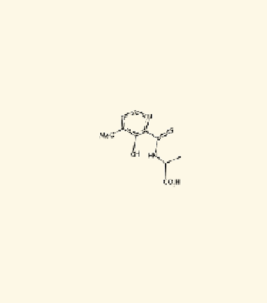 COc1ccnc(C(=S)NC(C)C(=O)O)c1O